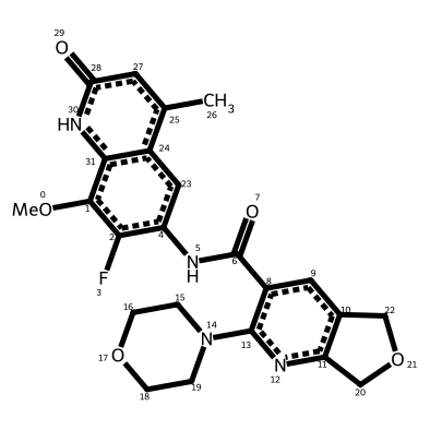 COc1c(F)c(NC(=O)c2cc3c(nc2N2CCOCC2)COC3)cc2c(C)cc(=O)[nH]c12